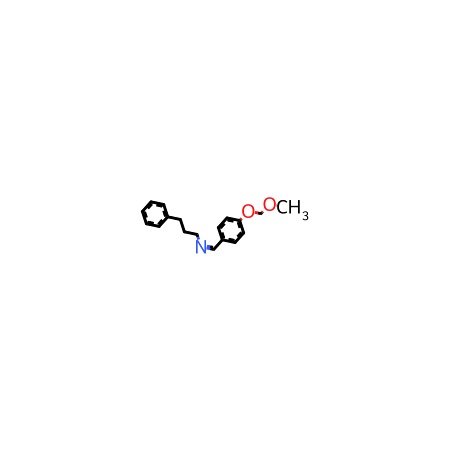 COCOc1ccc(/C=N\CCCc2ccccc2)cc1